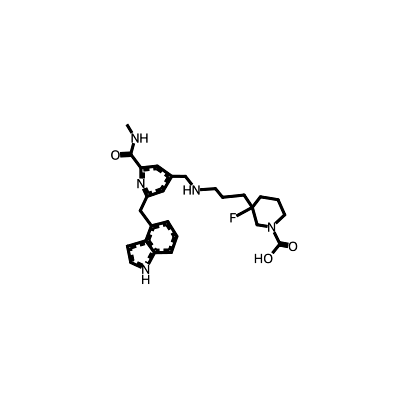 CNC(=O)c1cc(CNCCCC2(F)CCCN(C(=O)O)C2)cc(Cc2cccc3[nH]ccc23)n1